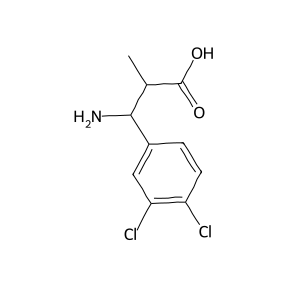 CC(C(=O)O)C(N)c1ccc(Cl)c(Cl)c1